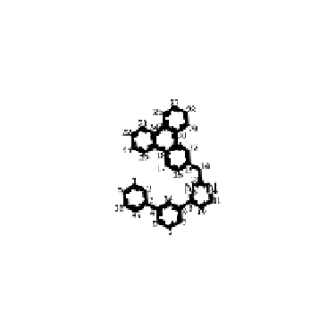 c1ccc(-c2cccc(-c3ccnc(Cc4ccc5c6ccccc6c6ccccc6c5c4)n3)c2)cc1